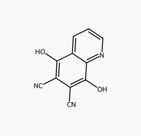 N#Cc1c(C#N)c(O)c2ncccc2c1O